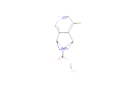 CC(C)(C)OC(=O)N1C2C=CC1c1c(F)cncc12